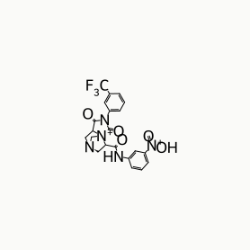 O=C(Nc1cccc([N+](=O)O)c1)C1C[N@@]2CC3C(=O)N(c4cccc(C(F)(F)F)c4)C(=O)[N+]13C2